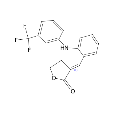 O=C1OCC/C1=C\c1ccccc1Nc1cccc(C(F)(F)F)c1